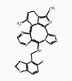 Cc1oc2c3c1CC=C(C(F)(F)F)C3=c1nccnc1=C(NCc1c(F)ccc3c1CCO3)n1cnnc1-2